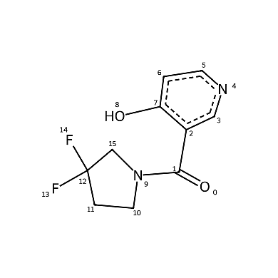 O=C(c1cnccc1O)N1CCC(F)(F)C1